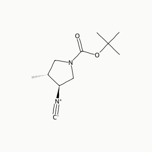 [C-]#[N+][C@@H]1CN(C(=O)OC(C)(C)C)C[C@H]1C